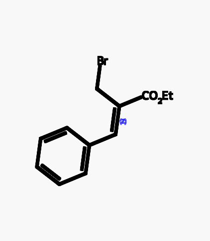 CCOC(=O)/C(=C/c1ccccc1)CBr